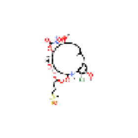 COc1cc2cc(c1Cl)N(C)C(=O)C[C@H](OC(=O)CCC[SH](C)(C)=O)[C@@]1(C)O[C@H]1[C@H](C)[C@@H]1C[C@@](O)(NC(=O)O1)[C@H](OC)CC/C=C(\C)C2